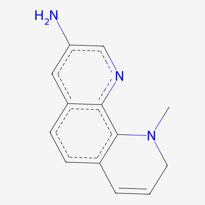 CN1CC=Cc2ccc3cc(N)cnc3c21